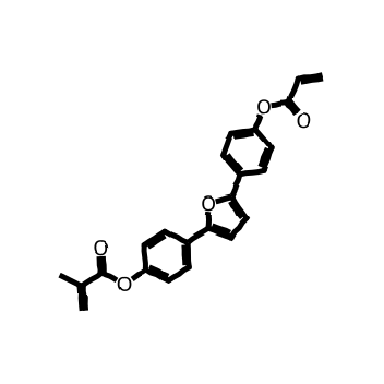 C=CC(=O)Oc1ccc(-c2ccc(-c3ccc(OC(=O)C(=C)C)cc3)o2)cc1